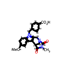 COc1ccc2c(c1)c1c(n2Cc2ccc(C(=O)O)cc2)CN2CC1C(=O)N(C)C2=O